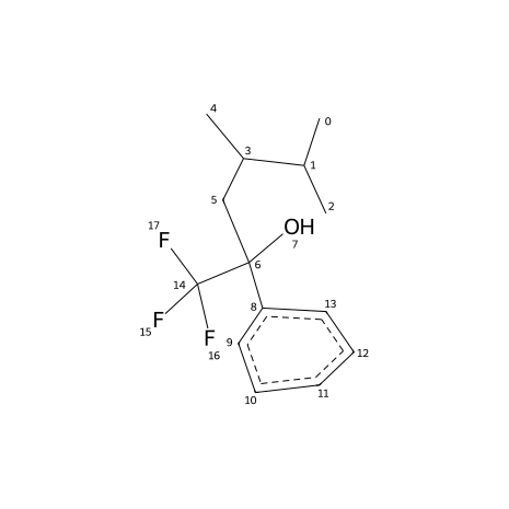 CC(C)C(C)CC(O)(c1ccccc1)C(F)(F)F